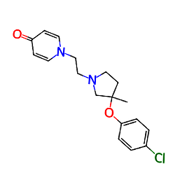 CC1(Oc2ccc(Cl)cc2)CCN(CCn2ccc(=O)cc2)C1